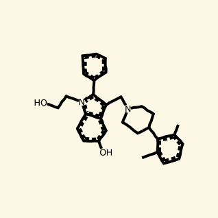 Cc1cccc(C)c1C1CCN(Cc2c(-c3ccccc3)n(CCO)c3ccc(O)cc23)CC1